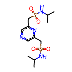 CC(C)NS(=O)(=O)Cc1cncc(CS(=O)(=O)NC(C)C)n1